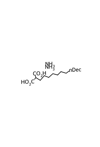 CCCCCCCCCCCCCCCCCC(C(=O)O)C(=O)O.N.N